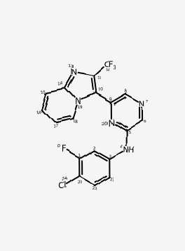 Fc1cc(Nc2cncc(-c3c(C(F)(F)F)nc4ccccn34)n2)ccc1Cl